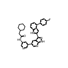 O=C(CC1CCCCC1)Nc1cncc(-c2cnc3[nH]nc(-c4cc5c(-c6ccc(F)cc6)cccc5[nH]4)c3c2)c1